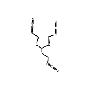 O=C=NCSC(SCN=C=O)SCN=C=O